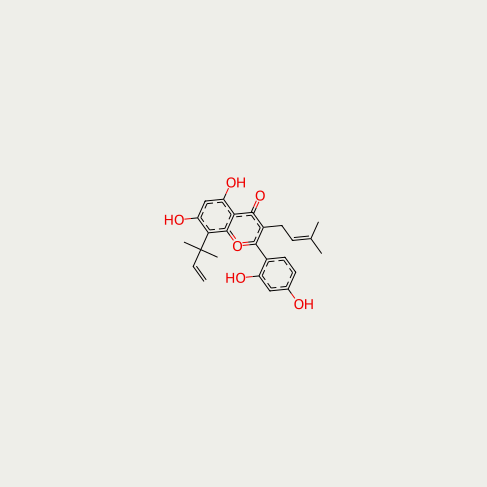 C=CC(C)(C)c1c(O)cc(O)c2c(=O)c(CC=C(C)C)c(-c3ccc(O)cc3O)oc12